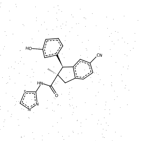 C[C@@]1(C(=O)Nc2nncs2)Cc2ccc(C#N)cc2[C@@H]1c1cccc(O)c1